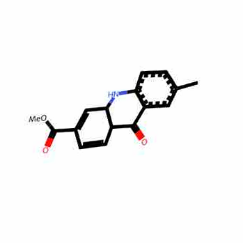 COC(=O)C1=CC2Nc3ccc(C)cc3C(=O)C2C=C1